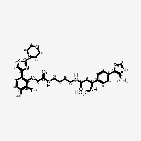 Cc1ncsc1-c1ccc(C(CC(=O)NCCCCNC(=O)COc2c(-c3csc(N4CCOCC4)n3)ccc(F)c2F)NC(=O)O)cc1